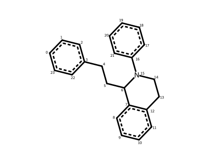 c1ccc(CCC2c3ccccc3CCN2c2ccccc2)cc1